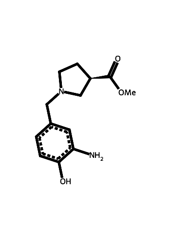 COC(=O)[C@@H]1CCN(Cc2ccc(O)c(N)c2)C1